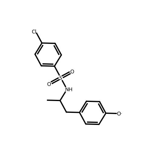 CC(Cc1ccc([O])cc1)NS(=O)(=O)c1ccc(Cl)cc1